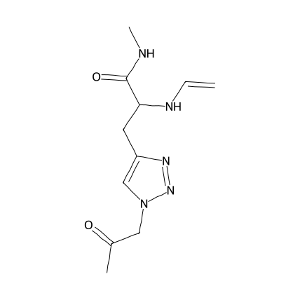 C=CNC(Cc1cn(CC(C)=O)nn1)C(=O)NC